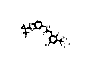 CC(C)(C)c1cc(O)cc(CC(=O)Nc2ccc3[nH]c(C4(C(F)(F)F)CC4)nc3c2)c1F